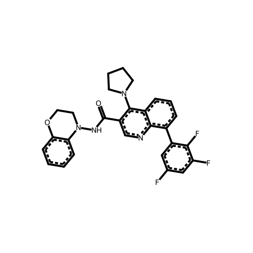 O=C(NN1CCOc2ccccc21)c1cnc2c(-c3cc(F)cc(F)c3F)cccc2c1N1CCCC1